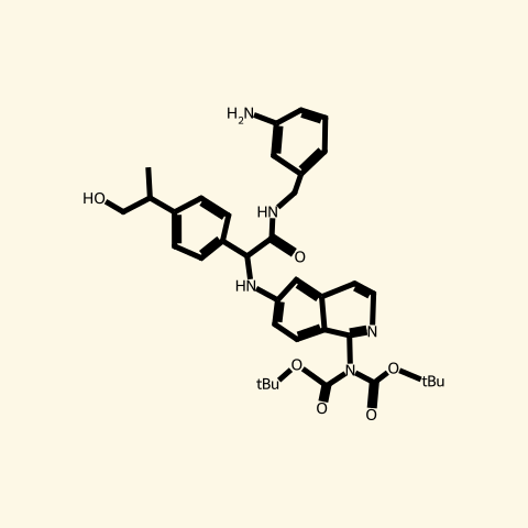 CC(CO)c1ccc(C(Nc2ccc3c(N(C(=O)OC(C)(C)C)C(=O)OC(C)(C)C)nccc3c2)C(=O)NCc2cccc(N)c2)cc1